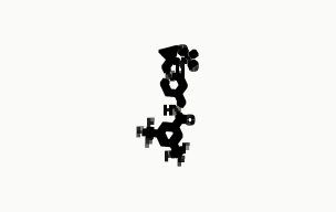 CS(=O)(=O)NC1(CN2CCC(CNC(=O)c3cc(C(F)(F)F)cc(C(F)(F)F)c3)CC2)CC1